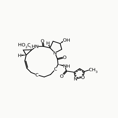 Cc1cc(C(=O)N[C@H]2CCCCCC=C[C@@H]3C[C@@]3(C(=O)O)NC(=O)[C@@H]3C[C@@H](O)CN3C2=O)no1